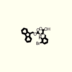 O=C(N[C@@H](Cc1cccc(Br)c1F)C(=O)O)OCC1c2ccccc2-c2ccccc21